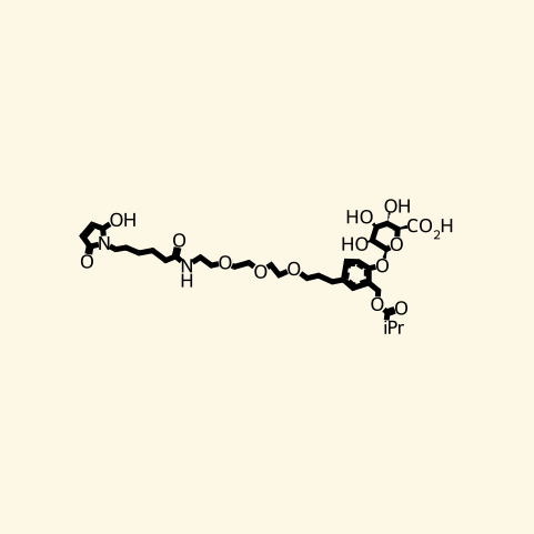 CC(C)C(=O)OCc1cc(CCCOCCOCCOCCNC(=O)CCCCCN2C(=O)C=CC2O)ccc1O[C@@H]1O[C@H](C(=O)O)[C@@H](O)[C@H](O)[C@H]1O